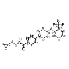 O=C(NCCC1CC1)c1ccc(N2CCC(Cc3ccccc3C(F)(F)F)CC2)nn1